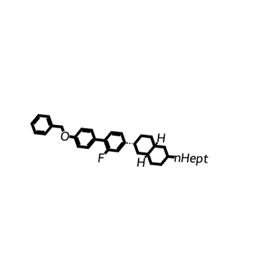 CCCCCCCC1CC[C@@H]2C[C@H](c3ccc(-c4ccc(OCc5ccccc5)cc4)c(F)c3)CC[C@@H]2C1